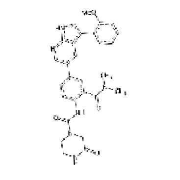 COc1ccccc1-c1c[nH]c2ncc(-c3ccc(NC(=O)N4CCNC(=O)C4)c(C(=O)N(C)C)c3)cc12